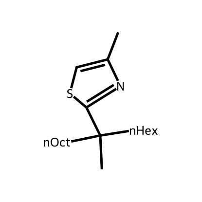 CCCCCCCCC(C)(CCCCCC)c1nc(C)cs1